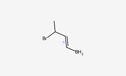 B/C=C/C(C)Br